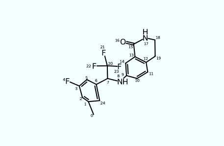 Cc1cc(F)cc(C(Nc2ccc3c(c2)C(=O)NCC3)C(F)(F)F)c1